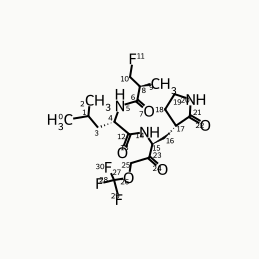 CC(C)C[C@H](NC(=O)[C@H](C)CF)C(=O)N[C@@H](C[C@@H]1CCNC1=O)C(=O)COC(F)(F)F